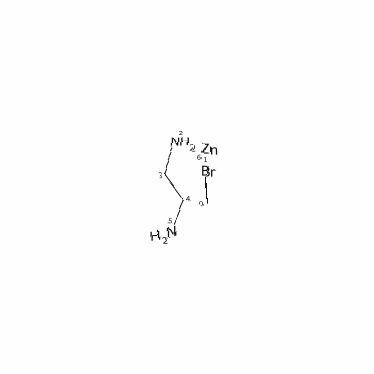 CBr.NCCN.[Zn]